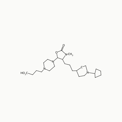 CN1C(=O)OC(N2CCN(CCCC(=O)O)CC2)C1CCCC1CCN(C2CCCC2)CC1